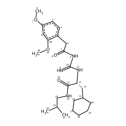 COc1ccc(CC(=O)NC(=N)N[C@H](CC2CCCCC2)C(=O)NCC(C)C)c(OC)c1